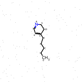 CCCCCC1=CC=NCC1